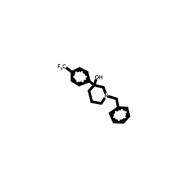 OC1(c2ccc(C(F)(F)F)cc2)CCCN(Cc2ccccc2)C1